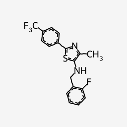 Cc1nc(-c2ccc(C(F)(F)F)cc2)sc1NCc1ccccc1F